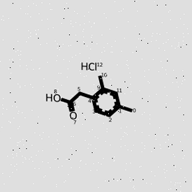 Cc1ccc(CC(=O)O)c(C)c1.Cl